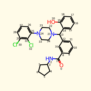 O=C(NC1CCCC1)c1cccc(C(c2ccccc2O)N2CCN(c3cccc(Cl)c3Cl)CC2)c1